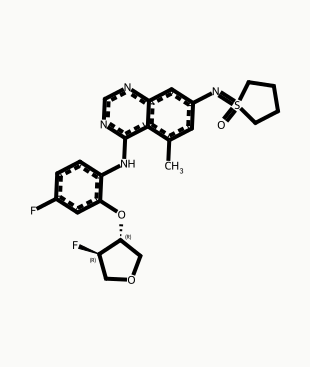 Cc1cc(N=S2(=O)CCCC2)cc2ncnc(Nc3ccc(F)cc3O[C@@H]3COC[C@H]3F)c12